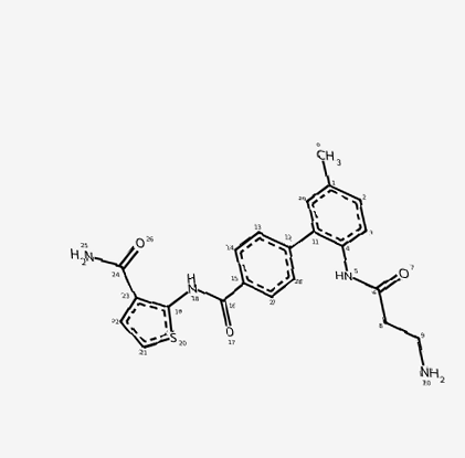 Cc1ccc(NC(=O)CCN)c(-c2ccc(C(=O)Nc3sccc3C(N)=O)cc2)c1